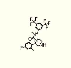 Cc1cc(F)ccc1C1CNCCN1C(=O)N(C)Cc1cc(C(F)(F)F)cc(C(F)(F)F)c1